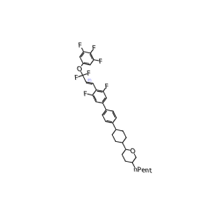 CCCCCC1CCC(C2CCC(c3ccc(-c4cc(F)c(/C=C/C(F)(F)Oc5cc(F)c(F)c(F)c5)c(F)c4)cc3)CC2)OC1